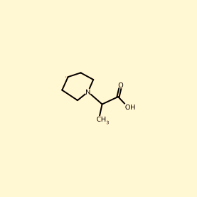 CC(C(=O)O)N1CC[CH]CC1